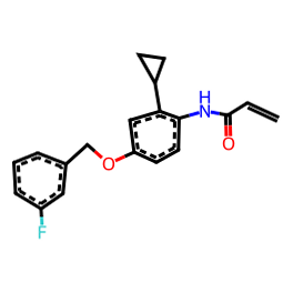 C=CC(=O)Nc1ccc(OCc2cccc(F)c2)cc1C1CC1